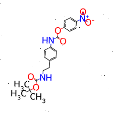 CC(C)(C)OC(=O)NCCc1ccc(NC(=O)Oc2ccc([N+](=O)[O-])cc2)cc1